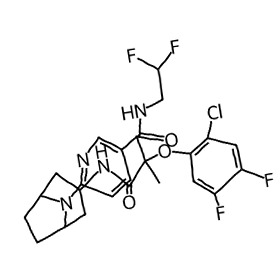 CC(C)(Oc1cc(F)c(F)cc1Cl)C(=O)NC1CC2CCC(C1)N2c1ccc(C(=O)NCC(F)F)cn1